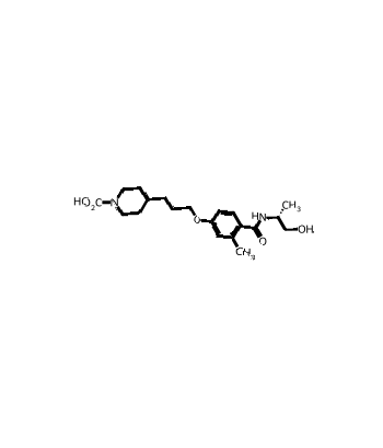 Cc1cc(OCCCC2CCN(C(=O)O)CC2)ccc1C(=O)N[C@H](C)CO